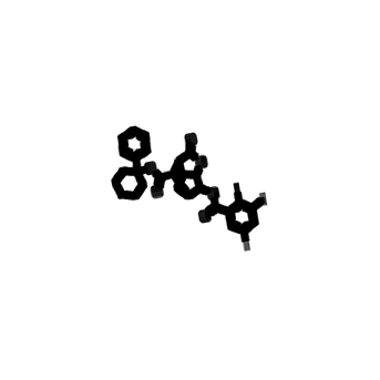 O=C(OC1C2CC3C1OC(=O)C3C2C(=O)OC1(c2ccccc2)CCCCC1)c1cc(I)cc(I)c1I